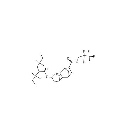 CCC(C)(C)CC(C(=O)OC1CC2CC1C1C3CC(CC3C(=O)OCC(F)(F)C(F)(F)F)C21)C(C)(C)CC